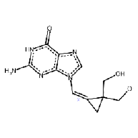 Nc1nc2c(ncn2/C=C2/CC2(C[O])CO)c(=O)[nH]1